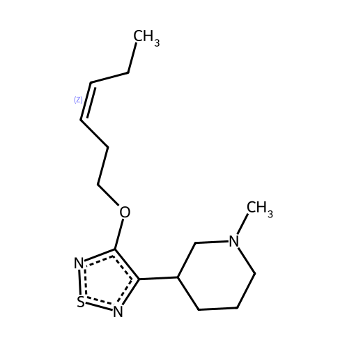 CC/C=C\CCOc1nsnc1C1CCCN(C)C1